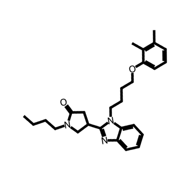 CCCCN1CC(c2nc3ccccc3n2CCCCOc2cccc(C)c2C)CC1=O